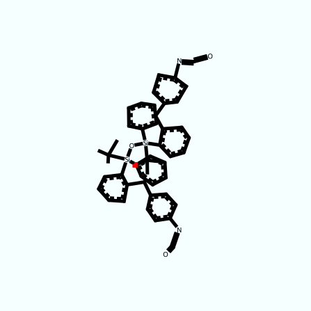 CC(C)(C)[Si](O[Si](c1ccccc1)(c1ccccc1Cc1ccc(N=C=O)cc1)C(C)(C)C)(c1ccccc1)c1ccccc1Cc1ccc(N=C=O)cc1